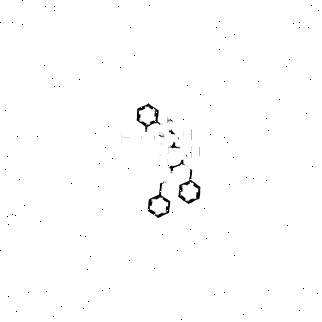 Cc1ccccc1S(=O)(=O)NC(=O)N[C@@H](Cc1ccccc1)C(=O)OCc1ccccc1